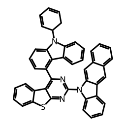 C1=CCC(n2c3ccccc3c3c(-c4nc(-n5c6ccccc6c6cc7ccccc7cc65)nc5sc6ccccc6c45)cccc32)C=C1